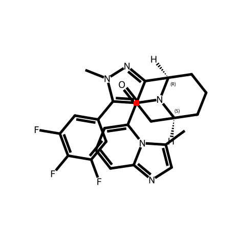 Cc1cnc2cccc(C(=O)N3[C@H]4CCC[C@@H]3c3nn(C)c(-c5cc(F)c(F)c(F)c5)c3C4)n12